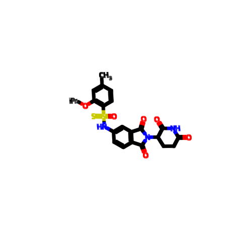 Cc1ccc(S(=O)(=S)Nc2ccc3c(c2)C(=O)N(C2CCC(=O)NC2=O)C3=O)c(OC(C)C)c1